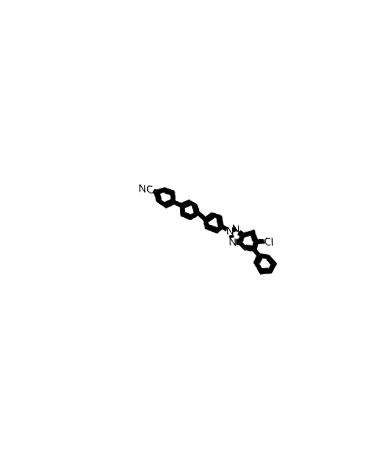 N#Cc1ccc(-c2ccc(-c3ccc(-n4nc5cc(Cl)c(-c6ccccc6)cc5n4)cc3)cc2)cc1